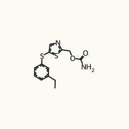 CCc1cccc(Sc2cnc(COC(N)=O)s2)c1